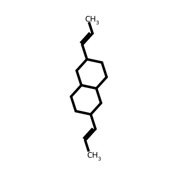 CC=CC1CCC2CC(C=CC)CCC2C1